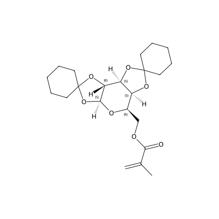 C=C(C)C(=O)OC[C@H]1O[C@H]2OC3(CCCCC3)O[C@@H]2[C@H]2OC3(CCCCC3)O[C@H]21